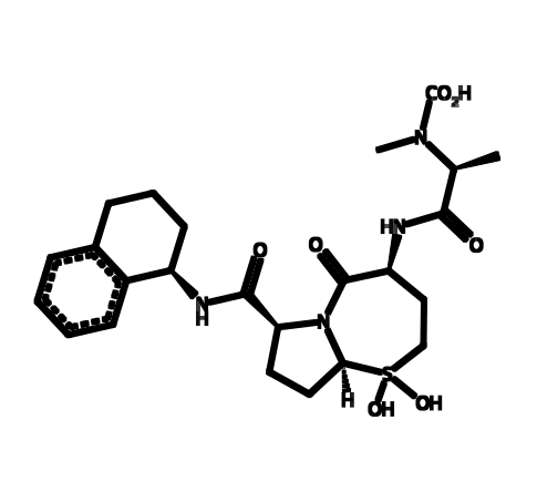 C[C@@H](C(=O)N[C@H]1CCS(O)(O)[C@H]2CC[C@@H](C(=O)N[C@@H]3CCCc4ccccc43)N2C1=O)N(C)C(=O)O